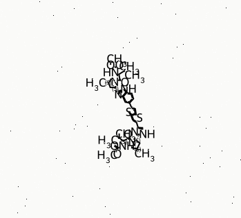 COC(=O)NC(C(=O)N1C[C@@H](C)C[C@H]1c1nc2cc(-c3cc4sc(-c5c[nH]c([C@@H]6C[C@H](C)CN6C(=O)[C@@H](NC(=O)OC)C(C)C)n5)cc4s3)ccc2[nH]1)C(C)C